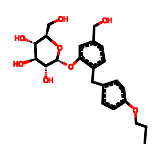 CCCOc1ccc(Cc2ccc(CO)cc2O[C@H]2O[C@H](CO)[C@@H](O)[C@H](O)[C@H]2O)cc1